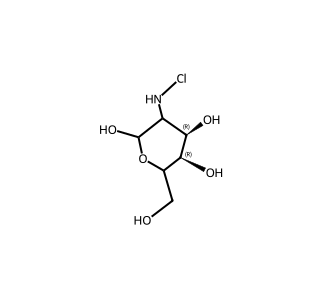 OCC1OC(O)C(NCl)[C@@H](O)[C@H]1O